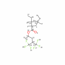 CCC(C)(C)CC(C)(C(=O)OC(C)CC(C(F)(F)F)C(F)(F)F)C(C)(C)CC